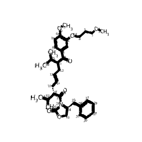 COCCCOc1cc(C(=O)C(C/C=C/C[C@H](C(=O)N2C(=O)OC[C@@H]2CC2=CC=CCC2)C(C)C)C(C)C)ccc1OC